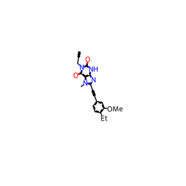 C#CCn1c(=O)[nH]c2nc(C#Cc3ccc(CC)c(OC)c3)n(C)c2c1=O